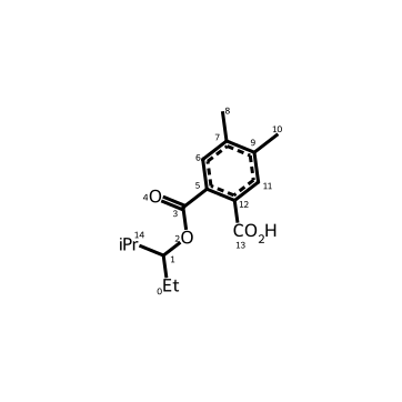 CCC(OC(=O)c1cc(C)c(C)cc1C(=O)O)C(C)C